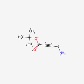 CC(C)(C)OC(=O)C#CCN